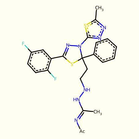 CC(=O)/N=C(\C)NNCCC1(c2ccccc2)SC(c2cc(F)ccc2F)=NN1c1nnc(C)s1